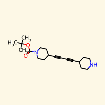 CC(C)(C)OC(=O)N1CCC(C#CC#CC2CCNCC2)CC1